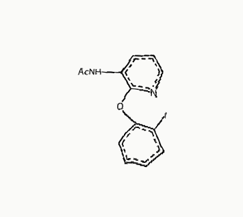 CC(=O)Nc1cccnc1Oc1ccccc1I